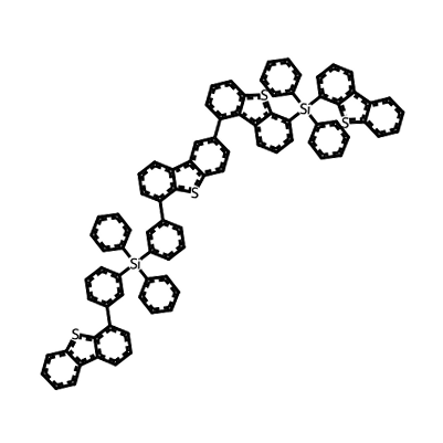 c1ccc([Si](c2ccccc2)(c2cccc(-c3cccc4c3sc3ccccc34)c2)c2cccc(-c3cccc4c3sc3ccc(-c5cccc6sc7c([Si](c8ccccc8)(c8ccccc8)c8cccc9c8sc8ccccc89)cccc7c56)cc34)c2)cc1